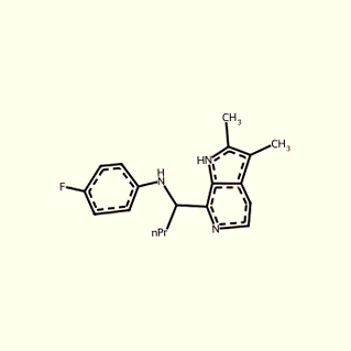 CCCC(Nc1ccc(F)cc1)c1nccc2c(C)c(C)[nH]c12